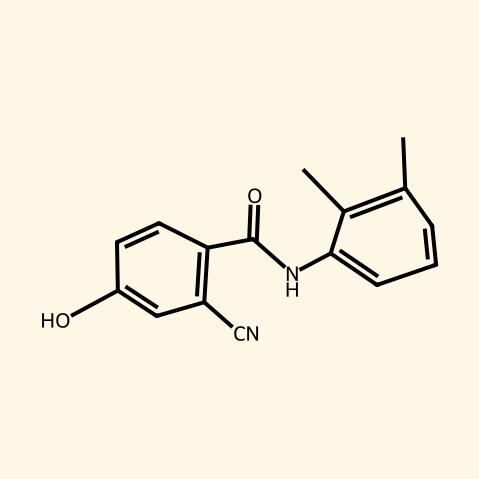 Cc1cccc(NC(=O)c2ccc(O)cc2C#N)c1C